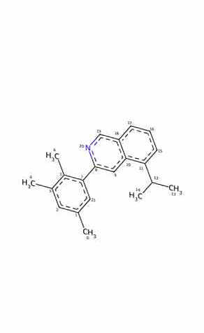 Cc1cc(C)c(C)c(-c2cc3c(C(C)C)cccc3cn2)c1